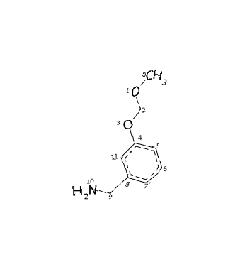 COCOc1cc[c]c(CN)c1